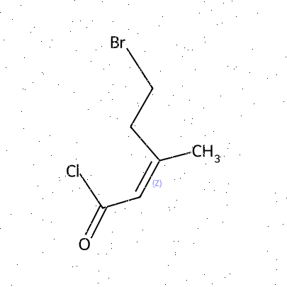 C/C(=C/C(=O)Cl)CCBr